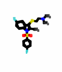 Cc1c(SCCN(C)C)c2cc(F)ccc2n1S(=O)(=O)c1ccc(F)cc1